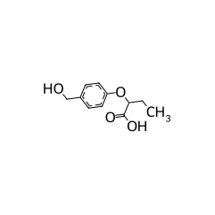 CCC(Oc1ccc(CO)cc1)C(=O)O